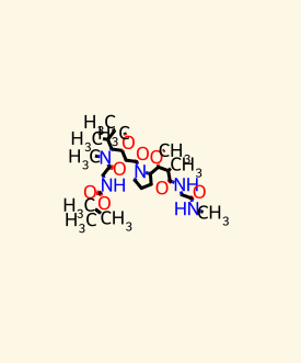 CCC(C)C(C(CC(=O)N1CCCC1C(OC)C(C)C(=O)NCC(=O)NC)OC)N(C)C(=O)CNC(=O)OC(C)(C)C